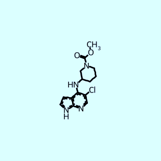 COC(=O)N1CCCC(Nc2c(Cl)cnc3[nH]ccc23)C1